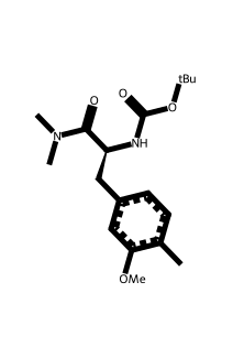 COc1cc(C[C@H](NC(=O)OC(C)(C)C)C(=O)N(C)C)ccc1C